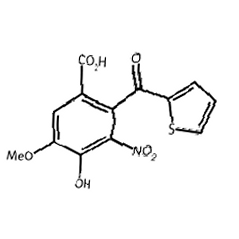 COc1cc(C(=O)O)c(C(=O)c2cccs2)c([N+](=O)[O-])c1O